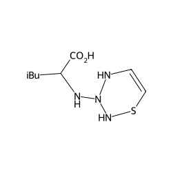 CCC(C)C(Nn1[nH]ccs[nH]1)C(=O)O